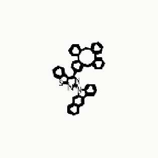 c1ccc2c(c1)Cc1ccccc1-c1ccc(-c3nc(-n4c5ccccc5c5cc6ccccc6cc54)nc4sc5ccccc5c34)cc1Cc1ccccc1-2